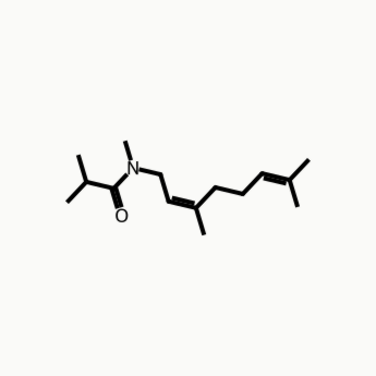 CC(C)=CCC/C(C)=C\CN(C)C(=O)C(C)C